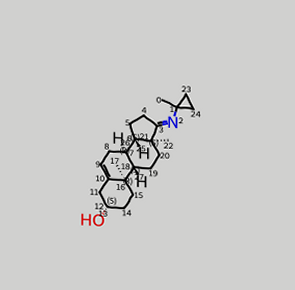 CC1(N=C2CC[C@H]3[C@@H]4CC=C5C[C@@H](O)CC[C@]5(C)[C@H]4CC[C@]23C)CC1